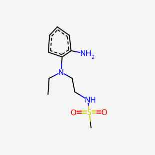 CCN(CCNS(C)(=O)=O)c1ccccc1N